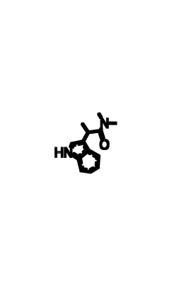 CC(C(=O)N(C)C)c1c[nH]c2ccccc12